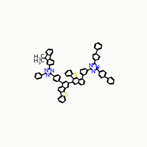 CC1(C)c2ccccc2-c2ccc(-c3nc(-c4ccccc4)nc(-c4ccc(-c5cc(-c6cc7cccc(-c8cccc(-c9nc(-c%10ccc(-c%11ccccc%11)cc%10)nc(-c%10ccc(-c%11ccccc%11)cc%10)n9)c8)c7c7sc8ccccc8c67)cc6c5ccc5c7ccccc7sc65)cc4)n3)cc21